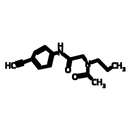 C#Cc1ccc(NC(=O)CN(CCC)C(C)=O)cc1